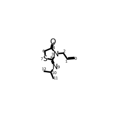 C=CCN1C(=O)CSC1=NC(C)C